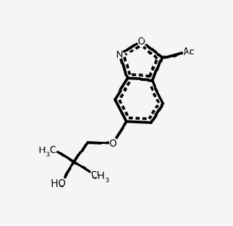 CC(=O)c1onc2cc(OCC(C)(C)O)ccc12